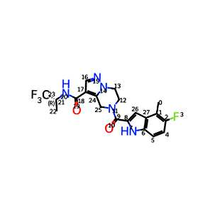 Cc1c(F)ccc2[nH]c(C(=O)N3CCn4ncc(C(=O)N[C@H](C)C(F)(F)F)c4C3)cc12